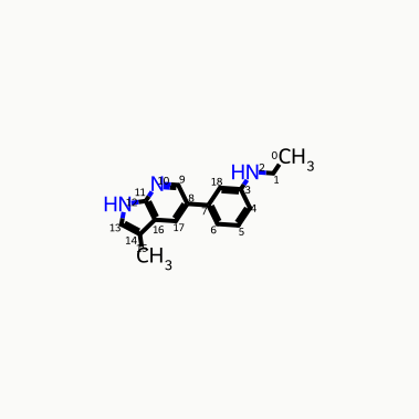 CCNc1cccc(-c2cnc3[nH]cc(C)c3c2)c1